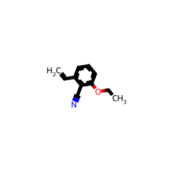 C=Cc1cccc(OCC)c1C#N